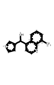 OC(c1ccsc1)c1ccnc2c(C(F)(F)F)cccc12